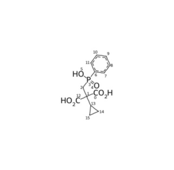 O=C(O)C(CP(=O)(O)c1ccccc1)(C(=O)O)C1CC1